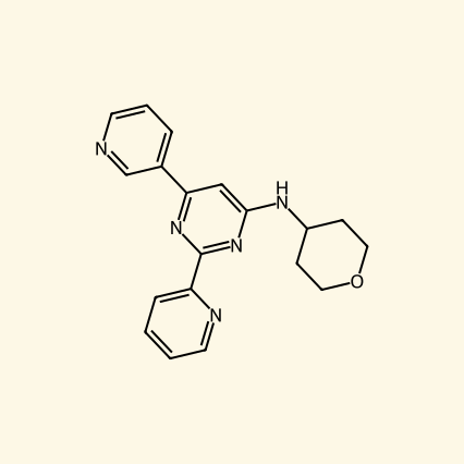 c1ccc(-c2nc(NC3CCOCC3)cc(-c3cccnc3)n2)nc1